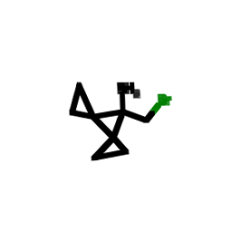 BC1(CBr)C2(CC2)C12CC2